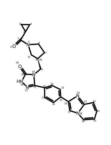 O=C(C1CC1)N1CC[C@@H](Cn2c(-c3ccc(-c4cn5ccccc5n4)cc3)n[nH]c2=O)C1